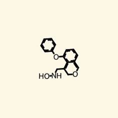 ONCC1=c2c(Oc3ccccc3)cccc2=COC1